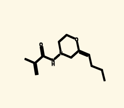 C=C(C)C(=O)NN1CCOC(=CCCC)C1